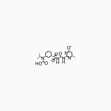 COc1cc(C)nc(NC(=O)NS(=O)(=O)c2cccc(N(C(=O)O)C(C)C)c2)n1